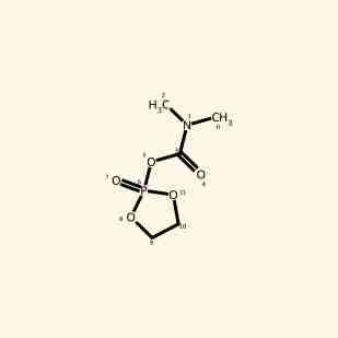 CN(C)C(=O)OP1(=O)OCCO1